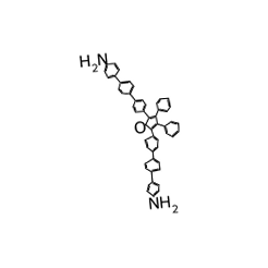 Nc1ccc(-c2ccc(-c3ccc(C4=C(c5ccccc5)C(c5ccccc5)=C(c5ccc(-c6ccc(-c7ccc(N)cc7)cc6)cc5)C4=O)cc3)cc2)cc1